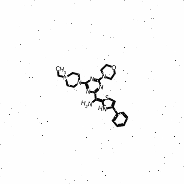 CCN1CCN(c2nc(/C(N)=C3/NC(c4ccccc4)=CS3)nc(N3CCOCC3)n2)CC1